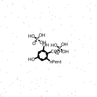 CCCCCc1cc(O)cc(O)c1C(=O)O.O=P(O)(O)O.O=P(O)(O)O